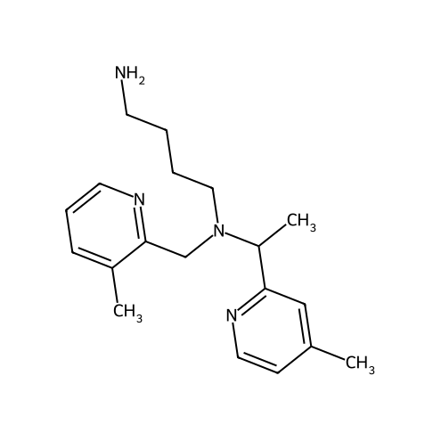 Cc1ccnc(C(C)N(CCCCN)Cc2ncccc2C)c1